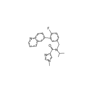 CC(C)N(Cc1ccc(F)c(-c2ccc3ncccc3c2)c1)C(=O)c1cn(C)cn1